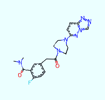 CN(C)C(=O)c1cc(CC(=O)N2CCN(c3ccc4nncn4n3)CC2)ccc1F